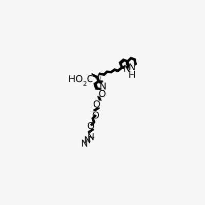 [N-]=[N+]=NCCOCCOCCOCCOc1ccc([C@H](CCCCCCc2ccc3c(n2)NCCC3)CC(=O)O)cn1